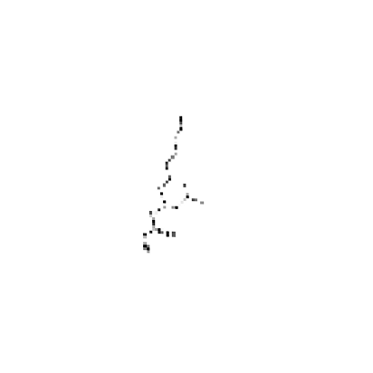 C=CC(=O)OC(CCCCCCC)CC(C)C